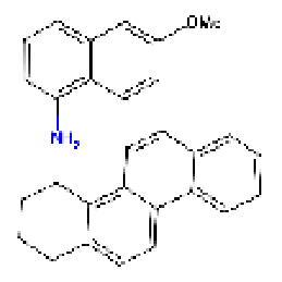 COc1ccc2c(N)cccc2c1.c1ccc2c(c1)ccc1c3c(ccc12)CCCC3